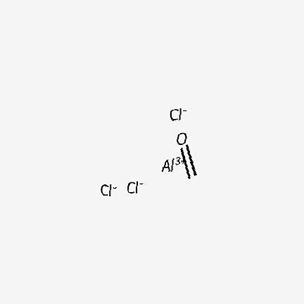 C=O.[Al+3].[Cl-].[Cl-].[Cl-]